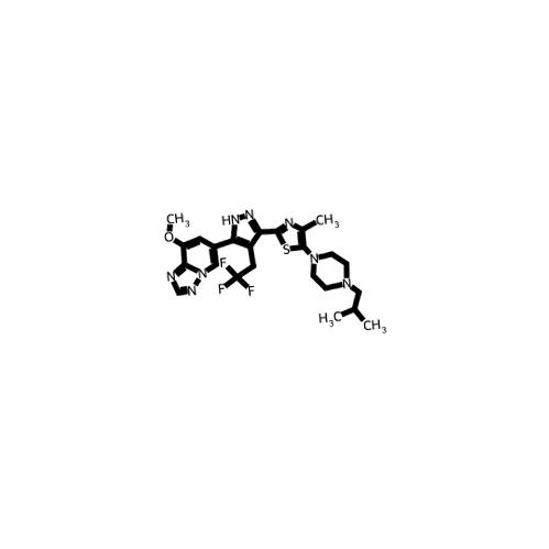 COc1cc(-c2[nH]nc(-c3nc(C)c(N4CCN(CC(C)C)CC4)s3)c2CC(F)(F)F)cn2ncnc12